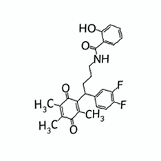 CC1=C(C)C(=O)C(C(CCCNC(=O)c2ccccc2O)c2ccc(F)c(F)c2)=C(C)C1=O